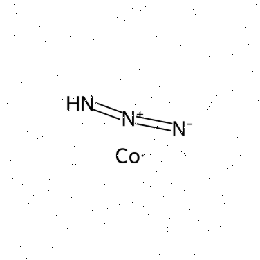 [Co].[N-]=[N+]=N